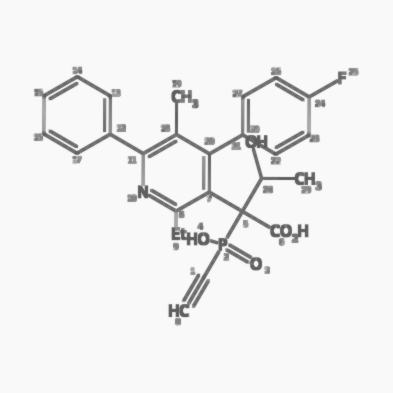 C#CP(=O)(O)C(C(=O)O)(c1c(CC)nc(-c2ccccc2)c(C)c1-c1ccc(F)cc1)C(C)O